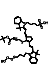 CC(C)(C)OC(=O)NCCSC1=C(/C=C/C2=[N+](CCCCSOOO)c3ccccc3C2(C)C)CC/C1=C\C=C1\N(CCCCS(=O)(=O)O)c2ccccc2C1(C)C